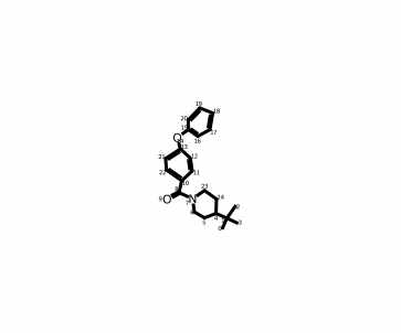 CC(C)(C)C1CCN(C(=O)c2ccc(Oc3ccccc3)cc2)CC1